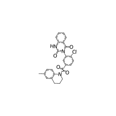 Cc1ccc2c(c1)CCCN2S(=O)(=O)c1ccc(Cl)c(-n2c(=O)[nH]c3ccccc3c2=O)c1